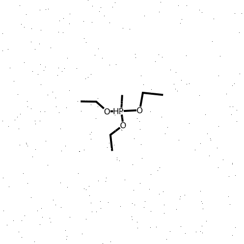 CCO[PH](C)(OCC)OCC